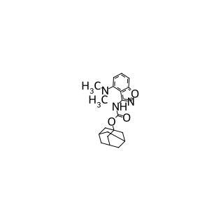 CN(C)c1cccc2onc(NC(=O)OC34CC5CC(CC(C5)C3)C4)c12